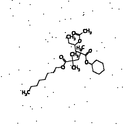 CCCCCCCCOC(=O)C(C)(C)CC(C)(CC(CC)OC(C)=O)C(=O)OC1CCCCC1